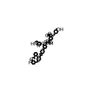 COc1cc(CN2CCN(C3CC4(CCN(c5ccc(C(=O)NS(=O)(=O)c6ccc(NCC7CCC(C)(O)CC7)c([N+](=O)[O-])c6)c(Oc6cnc7[nH]ccc7c6)c5)CC4)C3)C(c3ccccc3C(C)C)C2)ccc1F